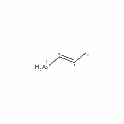 CC=C[AsH2]